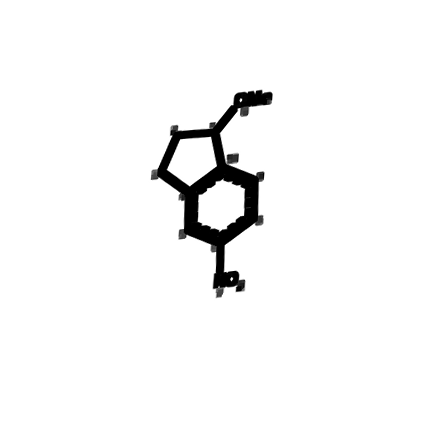 COC1CCc2cc([N+](=O)[O-])ccc21